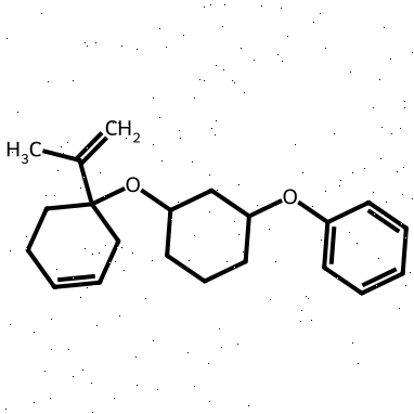 C=C(C)C1(OC2CCCC(Oc3ccccc3)C2)CC=CCC1